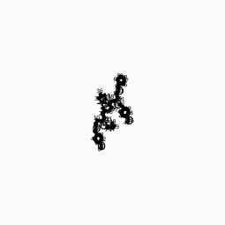 COc1ccc(COC[C@H](C)[C@H](O[Si](C)(C)C(C)(C)C)[C@@H](C)C=C(C)C[C@H](C)[C@@H](O[Si](C)(C)C(C)(C)C)[C@H](C)[C@@H](OCc2ccc(OC)cc2)[C@@H](C)COCc2ccccc2)cc1